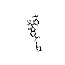 NC(=O)/C(=C1\Nc2ccc(C(=O)NCCn3ccnc3)cc2S1)c1nccc(C(F)(F)F)n1